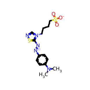 CN(C)c1ccc(/N=N/c2snc[n+]2CCCCS(=O)(=O)[O-])cc1